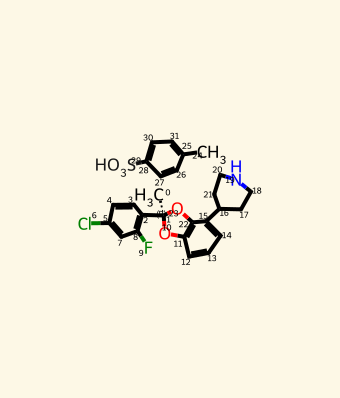 C[C@@]1(c2ccc(Cl)cc2F)Oc2cccc(C3CCNCC3)c2O1.Cc1ccc(S(=O)(=O)O)cc1